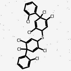 ClC1=CC(Cl)(c2ccccc2Cl)C(Cl)=CC1SC1C=C(Cl)C(Cl)(c2ccccc2Cl)C=C1Cl